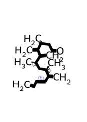 C=C/C=C/C(=C)[C@H](C)C[C@H](C)C(=C)C(=C)C(=C)CC=O